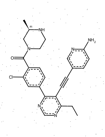 CCc1ncnc(-c2ccc(C(=O)N3CCN[C@H](C)C3)c(Cl)c2)c1C#Cc1ccc(N)nc1